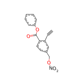 C#Cc1cc(CO[N+](=O)[O-])ccc1C(=O)Oc1ccccc1